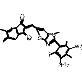 Bc1c(C)c(P)c(F)c(-c2nc3oc(C=C4C(=O)c5cc(C)c(C)cc5C4=O)cc3n2C)c1I